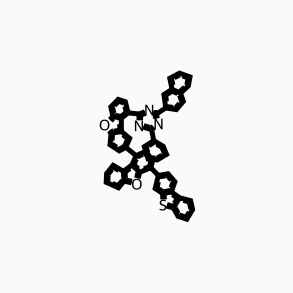 c1ccc(-c2nc(-c3ccc4ccccc4c3)nc(-c3cccc4oc5ccc(-c6ccc(-c7ccc8c(c7)sc7ccccc78)c7oc8ccccc8c67)cc5c34)n2)cc1